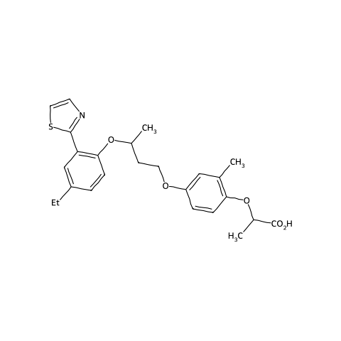 CCc1ccc(OC(C)CCOc2ccc(OC(C)C(=O)O)c(C)c2)c(-c2nccs2)c1